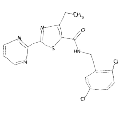 CCc1nc(-c2ncccn2)sc1C(=O)NCc1cc(Cl)ccc1Cl